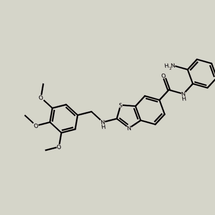 COc1cc(CNc2nc3ccc(C(=O)Nc4ccccc4N)cc3s2)cc(OC)c1OC